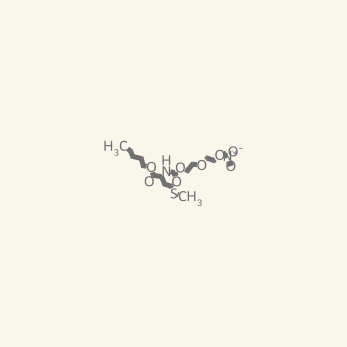 CCCCCOC(=O)C(CCSC)NC(=O)OCCOCCO[N+](=O)[O-]